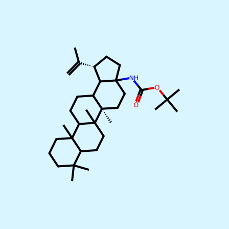 C=C(C)[C@@H]1CCC2(NC(=O)OC(C)(C)C)CC[C@]3(C)C(CCC4C5(C)CCCC(C)(C)C5CCC43C)C12